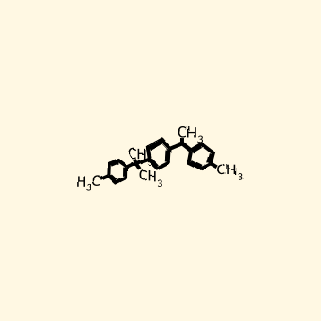 Cc1ccc(C(C)c2ccc(C(C)(C)c3ccc(C)cc3)cc2)cc1